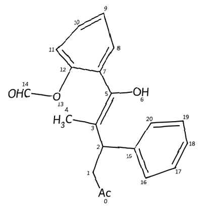 CC(=O)CC(/C(C)=C(\O)c1ccccc1OC=O)c1ccccc1